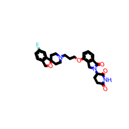 O=C1CCC(N2Cc3c(OCCCN4CCC5(CC4)OCc4ccc(F)cc45)cccc3C2=O)C(=O)N1